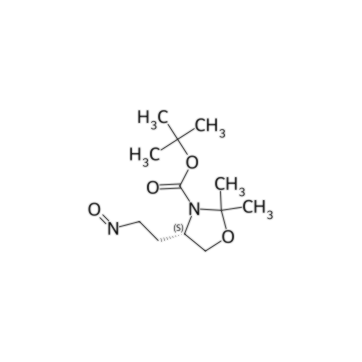 CC(C)(C)OC(=O)N1[C@@H](CCN=O)COC1(C)C